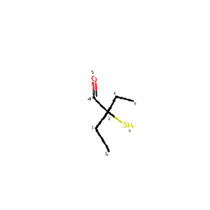 CCC(S)(C=O)CC